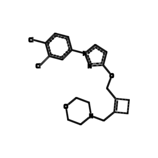 Clc1ccc(-n2ccc(OCC3=C(CN4CCOCC4)CC3)n2)cc1Cl